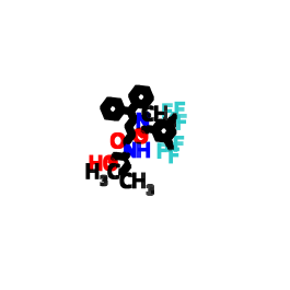 CC(C)C[C@@H](CO)NC(=O)CCC(C(c1ccccc1)c1ccccc1)N(C)C(=O)c1cc(C(F)(F)F)cc(C(F)(F)F)c1